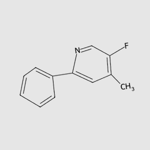 Cc1cc(-c2ccccc2)ncc1F